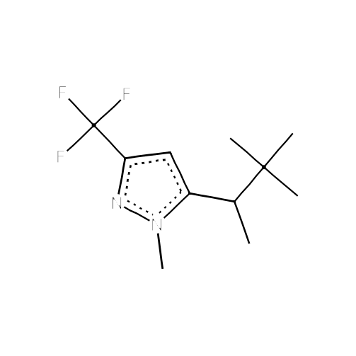 CC(c1cc(C(F)(F)F)nn1C)C(C)(C)C